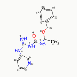 CC(NC(=O)NC(=N)Nc1cccnc1)OCc1ccccc1